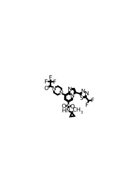 CC1(NS(=O)(=O)c2cc(N3CCN(C(=O)C(F)(F)F)CC3)c3ncc(-c4nnc(C(F)F)s4)n3c2)CC1